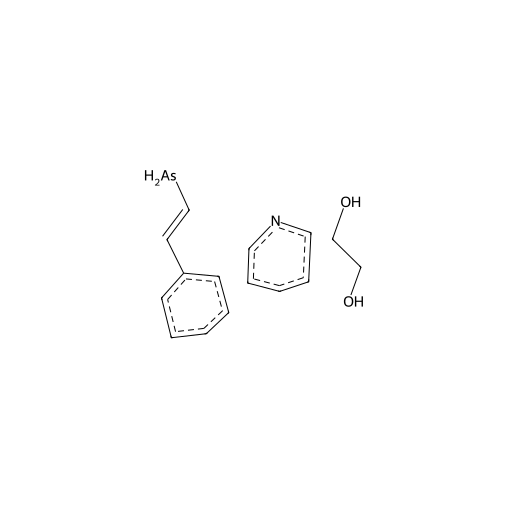 OCCO.[AsH2]C=Cc1ccccc1.c1ccncc1